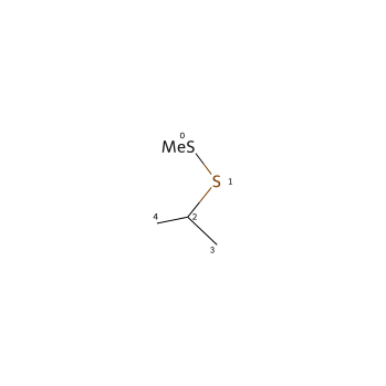 CSSC(C)C